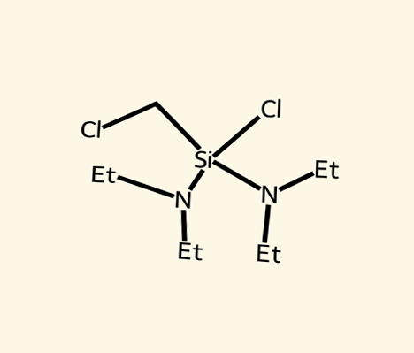 CCN(CC)[Si](Cl)(CCl)N(CC)CC